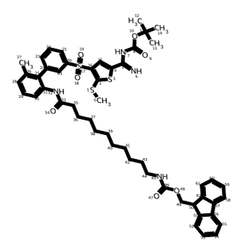 CSc1sc(C(=N)NC(=O)OC(C)(C)C)cc1S(=O)(=O)c1cccc(-c2c(C)cccc2NC(=O)CCCCCCCCCCNC(=O)OCC2c3ccccc3-c3ccccc32)c1